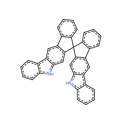 c1ccc2c(c1)-c1cc3c(cc1C21c2ccccc2-c2cc4c(cc21)[nH]c1ccccc14)[nH]c1ccccc13